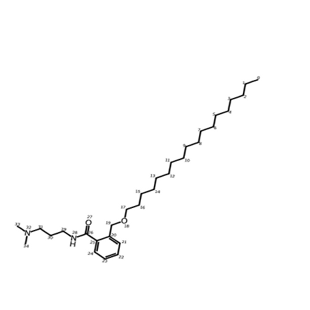 CCCCCCCCCCCCCCCCCCOCc1ccccc1C(=O)NCCCN(C)C